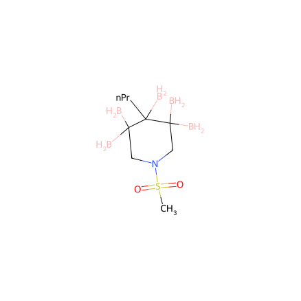 BC1(B)CN(S(C)(=O)=O)CC(B)(B)C1(B)CCC